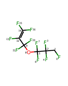 FCC(F)(F)C(F)(F)OC(F)(F)C(F)=C(F)F